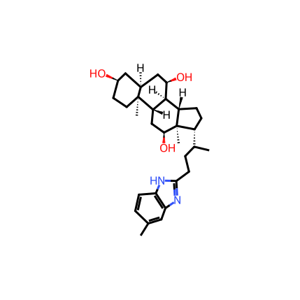 Cc1ccc2[nH]c(CCC(C)[C@H]3CC[C@H]4[C@@H]5[C@H](O)C[C@@H]6C[C@H](O)CC[C@]6(C)[C@H]5C[C@H](O)[C@]34C)nc2c1